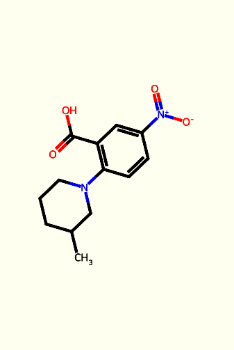 CC1CCCN(c2ccc([N+](=O)[O-])cc2C(=O)O)C1